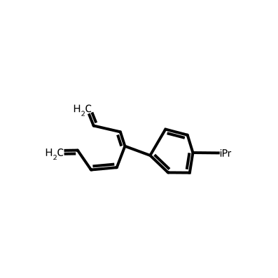 C=C/C=C\C(=C/C=C)c1ccc(C(C)C)cc1